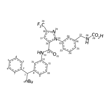 CCCCC(c1ccccc1)c1cccc(NC(=O)c2cc(C(F)(F)F)nn2-c2cccc(CNC(=O)O)c2)c1